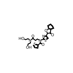 O=C1c2ccccc2OC1c1csc(N(CCC(=O)N(CCO)CCO)C(=O)c2cccs2)n1